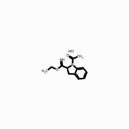 CCOC(=N)C1Cc2ccccc2N1C(C)=O.Cl